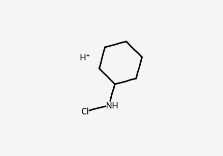 ClNC1CCCCC1.[H+]